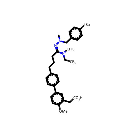 COc1ccc(-c2ccc(CCC/C(=N/N(C)Cc3ccc(C(C)(C)C)cc3)N(C=O)CC(F)(F)F)cc2)cc1CC(=O)O